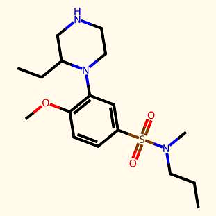 CCCN(C)S(=O)(=O)c1ccc(OC)c(N2CCNCC2CC)c1